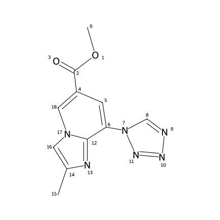 COC(=O)c1cc(-n2cnnn2)c2nc(C)cn2c1